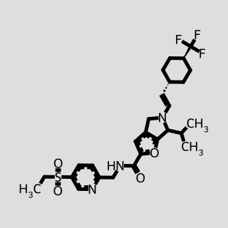 CCS(=O)(=O)c1ccc(CNC(=O)c2cc3c(o2)C(C(C)C)N(/C=C/[C@H]2CC[C@H](C(F)(F)F)CC2)C3)nc1